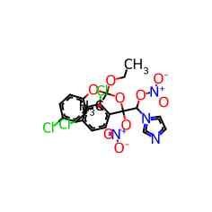 CCOC(C)(Oc1ccc(Cl)cc1)OC(O[N+](=O)[O-])(c1ccc(Cl)cc1Cl)C(O[N+](=O)[O-])n1ccnc1